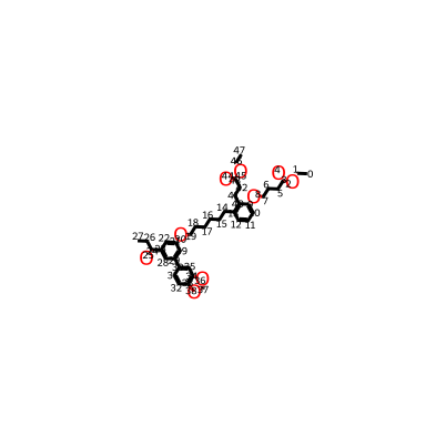 CCOC(=O)CCCOc1cccc(CCCCCCOc2cc(C(=O)CC)cc(-c3ccc4c(c3)OCO4)c2)c1CCC(=O)OCC